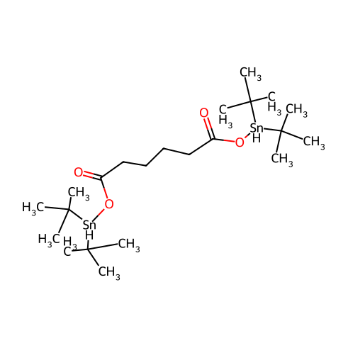 C[C](C)(C)[SnH]([O]C(=O)CCCCC(=O)[O][SnH]([C](C)(C)C)[C](C)(C)C)[C](C)(C)C